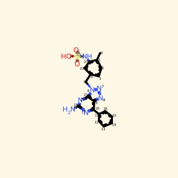 Cc1ccc(Cn2nnc3c(-c4ccccc4)nc(N)nc32)cc1NS(=O)(=O)O